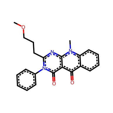 COCCCc1nc2c(c(=O)c3ccccc3n2C)c(=O)n1-c1ccccc1